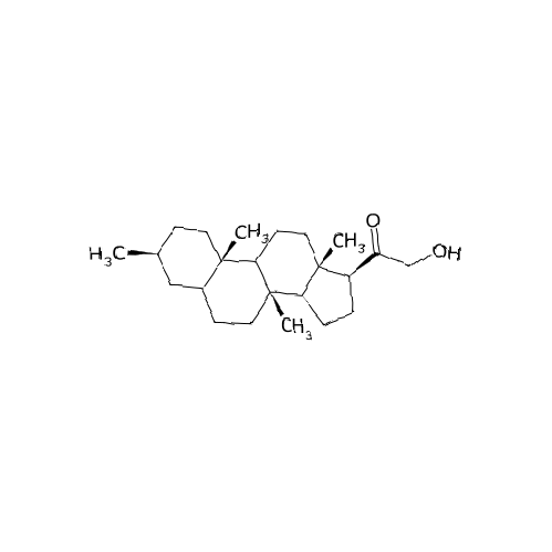 C[C@H]1CC[C@@]2(C)C(CC[C@]3(C)C2CC[C@@]2(C)C3CC[C@@H]2C(=O)CO)C1